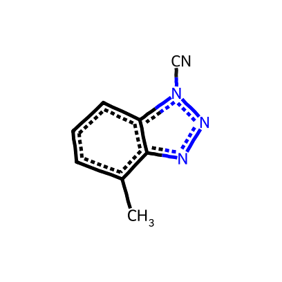 Cc1cccc2c1nnn2C#N